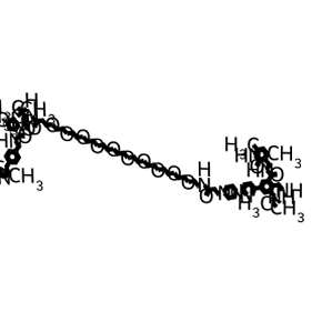 Cc1cc(C)c(CNC(=O)c2cc(-c3ccc(N4CCN(CCC(=O)NCCOCCOCCOCCOCCOCCOCCOCCOCCOCCOCCC(=O)N[C@H](C(=O)N5C[C@H](O)C[C@H]5C(=O)NCc5ccc(-c6scnc6C)cc5)C(C)(C)C)CC4)nc3)cc(NC(C)C)c2C=N)c(=O)[nH]1